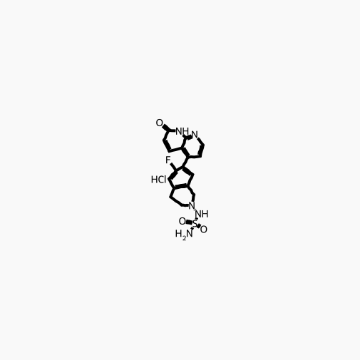 Cl.NS(=O)(=O)NN1CCc2cc(F)c(-c3ccnc4[nH]c(=O)ccc34)cc2C1